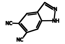 N#Cc1cc2cn[nH]c2cc1C#N